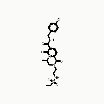 CCS(=O)(=O)NCCN1CC(C)n2c(ccc(C(=O)NCc3ccc(Cl)cc3)c2=O)C1=O